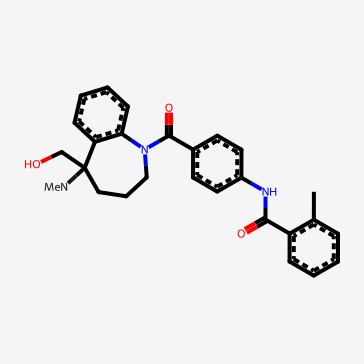 CNC1(CO)CCCN(C(=O)c2ccc(NC(=O)c3ccccc3C)cc2)c2ccccc21